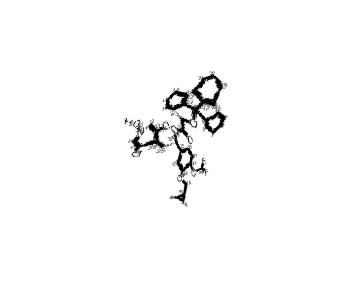 O=C(COC(c1ccccc1)(c1ccccc1)c1ccccc1)O[C@@H](Cc1c(Cl)c[n+](O)cc1Cl)c1ccc(OC(F)F)c(OCC2CC2)c1